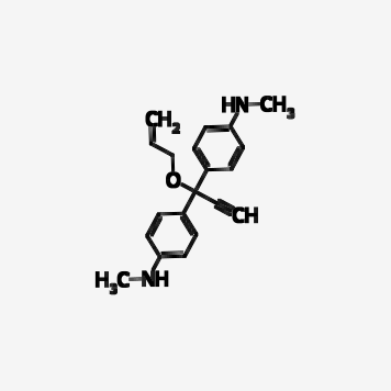 C#CC(OCC=C)(c1ccc(NC)cc1)c1ccc(NC)cc1